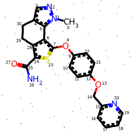 Cn1ncc2c1-c1c(Oc3ccc(OCc4ccccn4)cc3)sc(C(N)=O)c1CC2